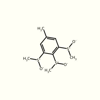 [CH2]c1cc([S+](C)[O-])c([S+](C)[O-])c([S+](C)[O-])c1